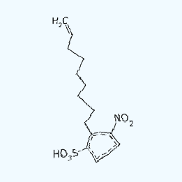 C=CCCCCCCCc1c([N+](=O)[O-])cccc1S(=O)(=O)O